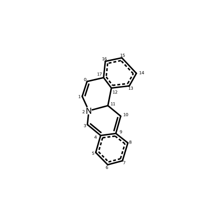 C1=CN2C=c3ccccc3=CC2c2ccccc21